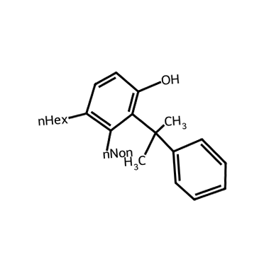 CCCCCCCCCc1c(CCCCCC)ccc(O)c1C(C)(C)c1ccccc1